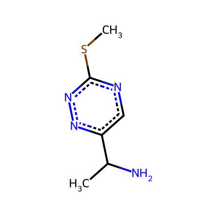 CSc1ncc(C(C)N)nn1